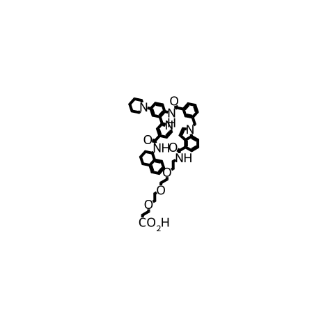 O=C(O)CCOCCOCCOCCNC(=O)c1cccc2c1ccn2Cc1cccc(C(=O)Nc2ccc(N3CCCCC3)cc2-c2cc(C(=O)NC3CCCc4ccccc43)ccn2)c1